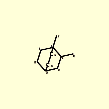 CC1CC2CCC1(C)CC2